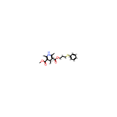 COC(=O)C1=C(C)NC(C)=C(C(=O)OCCCSc2ccccc2)C1C